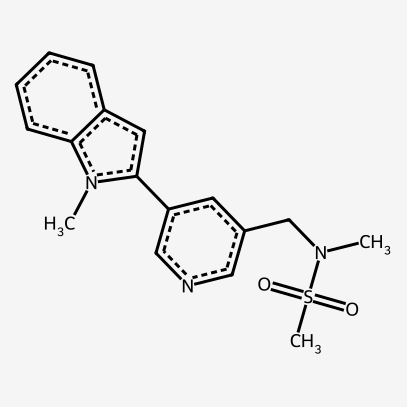 CN(Cc1cncc(-c2cc3ccccc3n2C)c1)S(C)(=O)=O